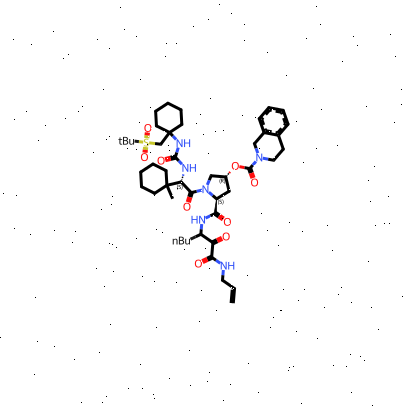 C=CCNC(=O)C(=O)C(CCCC)NC(=O)[C@@H]1C[C@@H](OC(=O)N2CCc3ccccc3C2)CN1C(=O)[C@@H](NC(=O)NC1(CS(=O)(=O)C(C)(C)C)CCCCC1)C1(C)CCCCC1